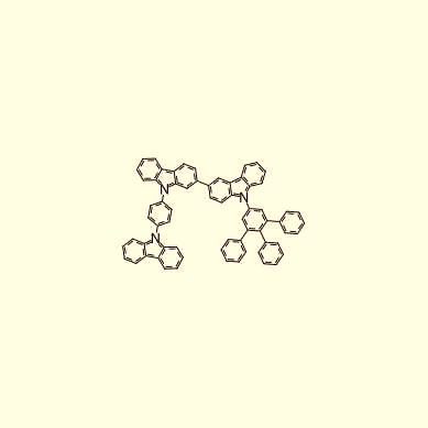 c1ccc(-c2cc(-n3c4ccccc4c4cc(-c5ccc6c7ccccc7n(-c7ccc(-n8c9ccccc9c9ccccc98)cc7)c6c5)ccc43)cc(-c3ccccc3)c2-c2ccccc2)cc1